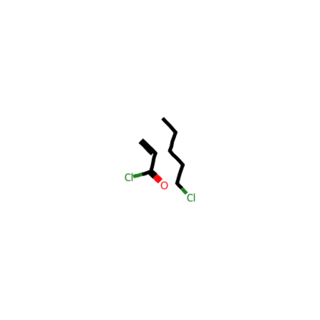 C=CC(=O)Cl.CCCCCCl